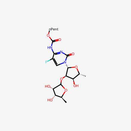 CCCCCOC(=O)Nc1nc(=O)n([C@@H]2O[C@H](C)[C@@H](O)[C@H]2OC2O[C@@H](C)[C@H](O)[C@@H]2O)cc1F